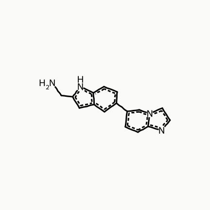 NCc1cc2cc(-c3ccc4nccn4c3)ccc2[nH]1